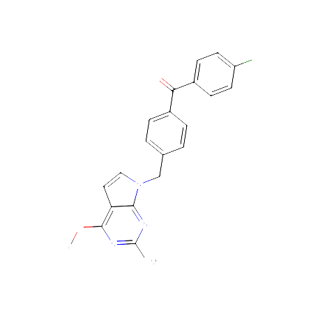 CCCOc1nc(SC)nc2c1ccn2Cc1ccc(C(=O)c2ccc(Cl)cc2)cc1